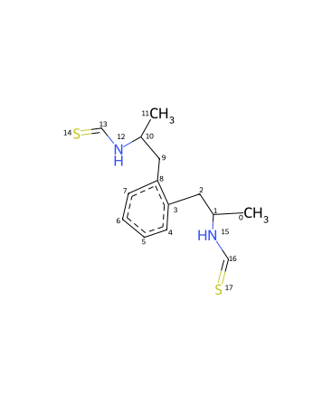 CC(Cc1ccccc1CC(C)NC=S)NC=S